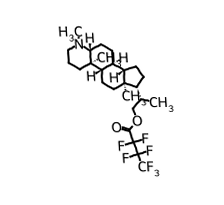 CC(COC(=O)C(F)(F)C(F)(F)C(F)(F)F)[C@H]1CC[C@H]2[C@@H]3CC[C@H]4N(C)CCC[C@]4(C)[C@H]3CC[C@]12C